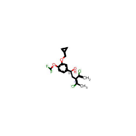 C=C(Cl)/C(C[C@H](O)c1ccc(OC(F)F)c(OCC2CC2)c1)=C(\C)Cl